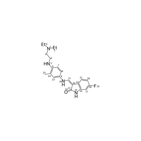 CCN(CC)CCNc1ccc(NC=C2C(=O)Nc3cc(F)ccc32)cc1C